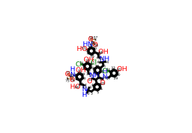 CC(C)(Cc1cccc(C(C(=O)NCc2cc(Cl)c(O)c(Cl)c2)C(C(=O)NCc2ccc(O)cc2Cl)c2cccc(CC(C)(C)NC[C@@H](O)c3ccc(O)c(NS(C)(=O)=O)c3)c2)c1)NC[C@@H](O)c1ccc(O)c(NS(C)(=O)=O)c1